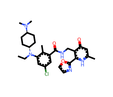 CCN(c1cc(Cl)cc(C(=O)NCc2c(-c3ncco3)[nH]c(C)cc2=O)c1C)[C@H]1CC[C@H](N(C)C)CC1